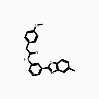 COc1ccc(CC(=O)Nc2cccc(-c3nc4cc(C)ccc4o3)c2)cc1